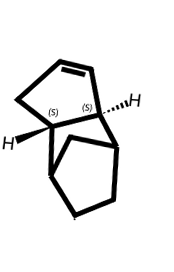 [CH]1CC2CC1[C@@H]1CC=C[C@@H]21